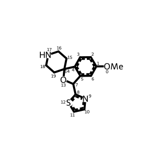 COc1ccc2c(c1)C(c1nccs1)OC21CCNCC1